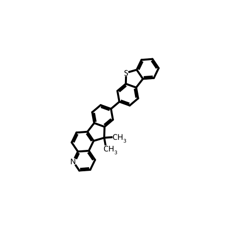 CC1(C)c2cc(-c3ccc4c(c3)sc3ccccc34)ccc2-c2ccc3ncccc3c21